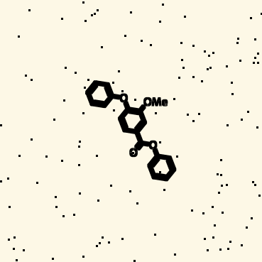 COc1cc(C(=O)Oc2ccccc2)ccc1Oc1ccccc1